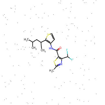 Cc1nc(C(F)F)c(C(=O)Nc2ccsc2C(C)CC(C)C)s1